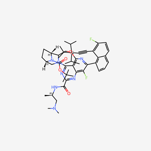 CC(C)[Si](C#Cc1c(F)ccc2cccc(-c3nc4c5c(nc(C(=O)N[C@H](C)CN(C)C)nc5c3F)N3C[C@@H]5CC[C@H](C3CO4)N5C(=O)OC(C)(C)C)c12)(C(C)C)C(C)C